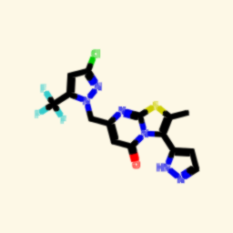 Cc1sc2nc(Cn3nc(Cl)cc3C(F)(F)F)cc(=O)n2c1-c1ccn[nH]1